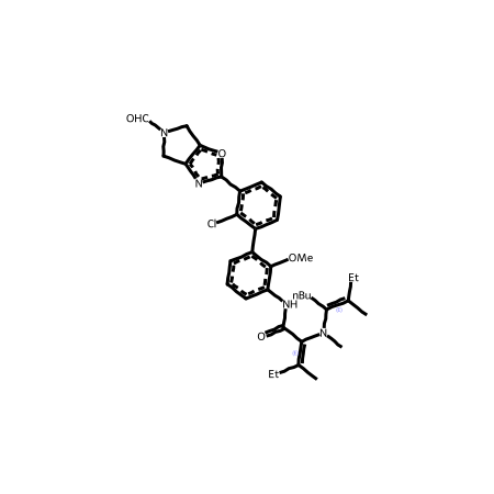 CCCC/C(=C(/C)CC)N(C)/C(C(=O)Nc1cccc(-c2cccc(-c3nc4c(o3)CN(C=O)C4)c2Cl)c1OC)=C(\C)CC